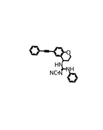 N#C/N=C(/Nc1ccccc1)NC1CCOc2ccc(C#Cc3ccccc3)cc21